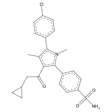 Cc1c(C(=O)CC2CC2)c(-c2ccc(S(N)(=O)=O)cc2)n(C)c1-c1ccc(Cl)cc1